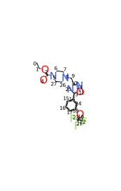 CCOC(=O)N1CCN(Cc2noc(-c3cccc(OC(F)(F)F)c3)n2)CC1